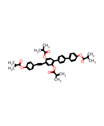 C=C(C)C(=O)Oc1ccc(C#Cc2cc(OC(=O)C(=C)C)c(-c3ccc(-c4ccc(OC(=O)C(=C)C)cc4)cc3)cc2OC(=O)C(=C)C)cc1